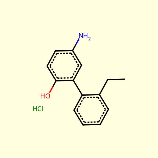 CCc1ccccc1-c1cc(N)ccc1O.Cl